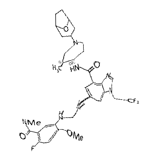 CNC(=O)c1cc(NCC#Cc2cc(C(=O)N[C@H]3CCN(C4CC5CCC(C4)O5)C[C@@H]3C)c3ncn(CC(F)(F)F)c3c2)c(OC)cc1F